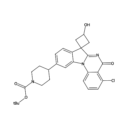 CC(C)(C)OC(=O)N1CCC(c2ccc3c(c2)-n2c(nc(=O)c4c(Cl)cccc42)C32CC(O)C2)CC1